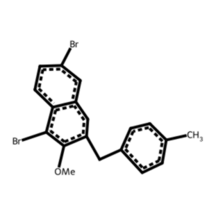 COc1c(Cc2ccc(C)cc2)cc2cc(Br)ccc2c1Br